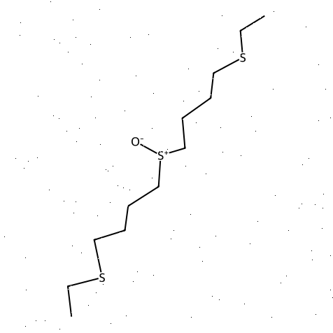 CCSCCCC[S+]([O-])CCCCSCC